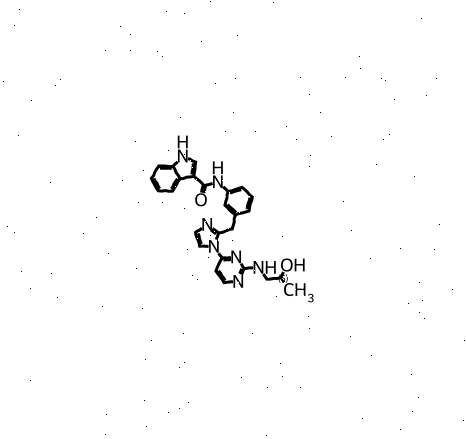 C[C@H](O)CNc1nccc(-n2ccnc2Cc2cccc(NC(=O)c3c[nH]c4ccccc34)c2)n1